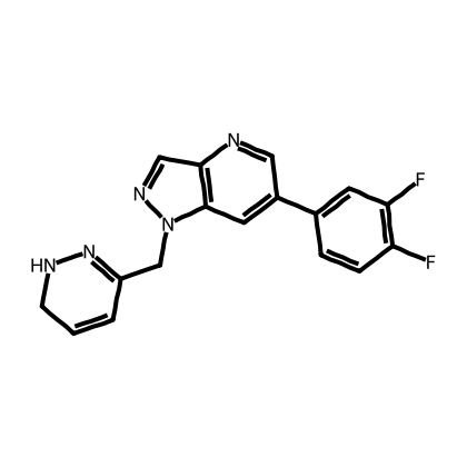 Fc1ccc(-c2cnc3cnn(CC4=NNCC=C4)c3c2)cc1F